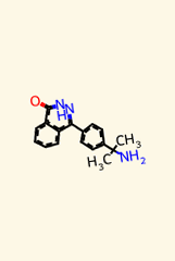 CC(C)(N)c1ccc(-c2n[nH]c(=O)c3ccccc23)cc1